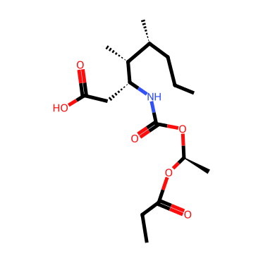 CCC[C@@H](C)[C@@H](C)[C@@H](CC(=O)O)NC(=O)O[C@@H](C)OC(=O)CC